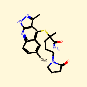 COc1ccc2nc3[nH]nc(C)c3c(SC(C)(CCCN3CCCC3=O)C(N)=O)c2c1